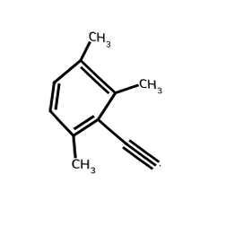 [C]#Cc1c(C)ccc(C)c1C